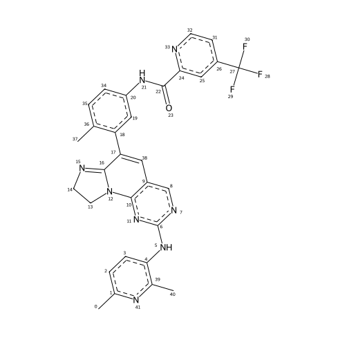 Cc1ccc(Nc2ncc3c(n2)N2CCN=C2C(c2cc(NC(=O)c4cc(C(F)(F)F)ccn4)ccc2C)=C3)c(C)n1